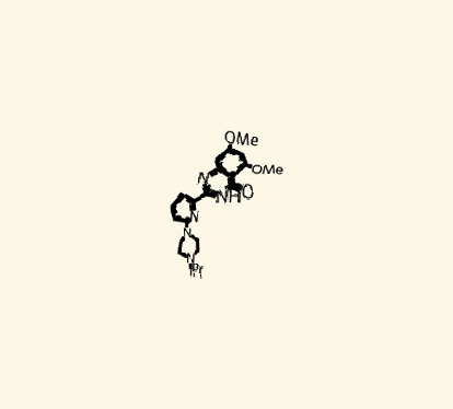 COc1cc(OC)c2c(=O)[nH]c(-c3cccc(N4CCN(C(C)C)CC4)n3)nc2c1